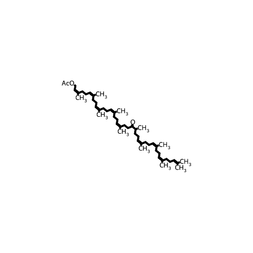 CC(=O)OCC=C(C)CCC=C(C)CCC=C(C)CCC=C(C)CCC=C(C)CCC(=O)C(C)CCC=C(C)CCC=C(C)CCC=C(C)CCC=C(C)C